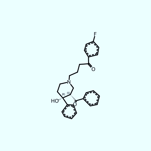 O=C(CCCN1CC[C@](O)(c2ccccc2)[C@@H](C(=O)c2ccccc2)C1)c1ccc(F)cc1